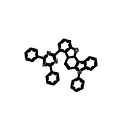 C1=CC2c3c(cccc3-c3nc(-c4ccccc4)nc(-c4ccccc4)n3)OC2c2c1n(-c1ccccc1)c1ccccc21